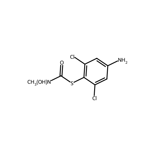 CN(O)C(=O)Sc1c(Cl)cc(N)cc1Cl